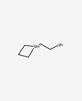 CCCCC[SiH]1CCC1